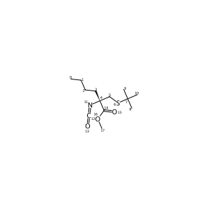 CCCC[C@](CSC(C)(C)C)(N=C=O)C(=O)OC